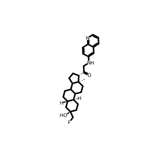 C[C@]12CCC3C(CC[C@H]4C[C@@](O)(CF)CC[C@H]34)C1CC[C@@H]2C(=O)CNc1ccc2ncccc2c1